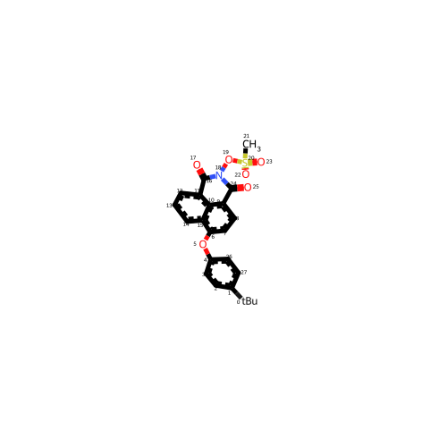 CC(C)(C)c1ccc(Oc2ccc3c4c(cccc24)C(=O)N(OS(C)(=O)=O)C3=O)cc1